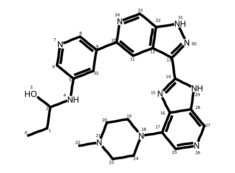 CCC(O)Nc1cncc(-c2cc3c(-c4nc5c(N6CCN(C)CC6)cncc5[nH]4)n[nH]c3cn2)c1